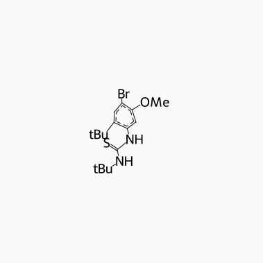 COc1cc(NC(=S)NC(C)(C)C)c(C(C)(C)C)cc1Br